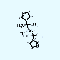 CC(C)(/N=N/C(C)(C)N1C=NCC1)N1C=NCC1.Cl